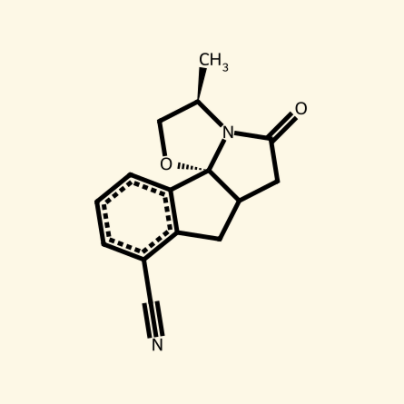 C[C@@H]1CO[C@@]23c4cccc(C#N)c4CC2CC(=O)N13